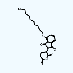 CCCCCCCCCCOc1cccc2c1C(=O)N(C1CCC(=O)NC1=O)C2=O